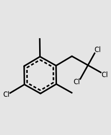 Cc1cc(Cl)cc(C)c1CC(Cl)(Cl)Cl